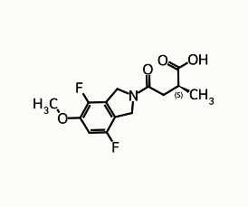 COc1cc(F)c2c(c1F)CN(C(=O)C[C@H](C)C(=O)O)C2